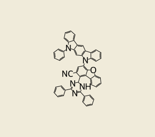 N#Cc1cc(-n2c3ccccc3c3cc4c5ccccc5n(-c5ccccc5)c4cc32)c2oc3ccccc3c2c1C1N=C(c2ccccc2)N=C(c2ccccc2)N1